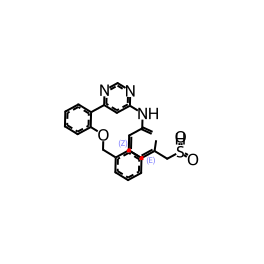 C=C(/C=C\C=C(/C)C[SH](=O)=O)Nc1cc(-c2ccccc2OCc2ccccc2)ncn1